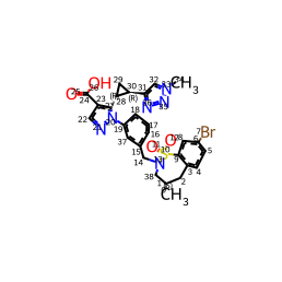 C[C@H]1Cc2ccc(Br)cc2S(=O)(=O)N(Cc2cccc(-n3ncc(C(=O)O)c3[C@@H]3C[C@H]3c3cn(C)nn3)c2)C1